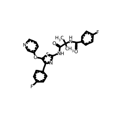 CC(C)(NC(=O)c1ccc(F)cc1)C(=O)Nc1nc(-c2ccc(F)cc2)c(Oc2cccnc2)s1